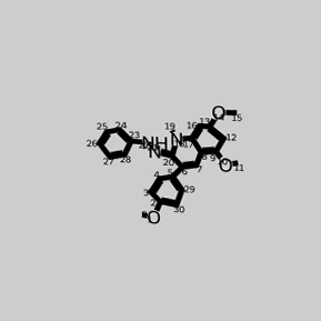 COc1ccc(-c2cc3c(OC)cc(OC)cc3n(C)c2=NNc2ccccc2)cc1